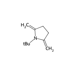 C=C1CCC(=C)N1C(C)(C)C